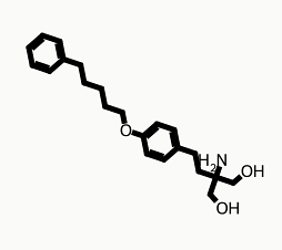 NC(CO)(CO)CCc1ccc(OCCCCCc2ccccc2)cc1